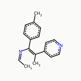 C/C=N\C(=C(/C)c1ccncc1)c1ccc(C)cc1